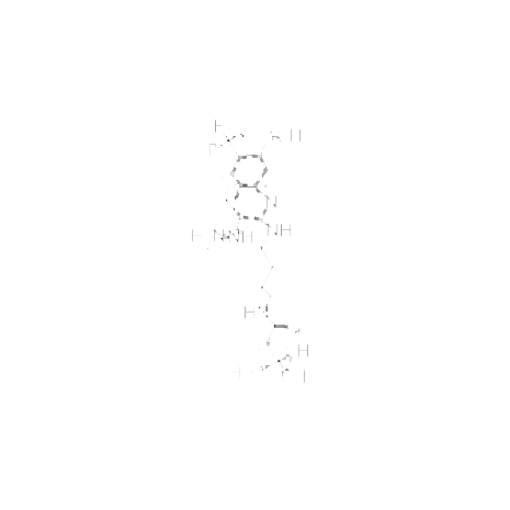 COc1cc2nc(NCCCCNC(=O)OC(C)(C)C)c(NN)nc2cc1C(F)(F)F